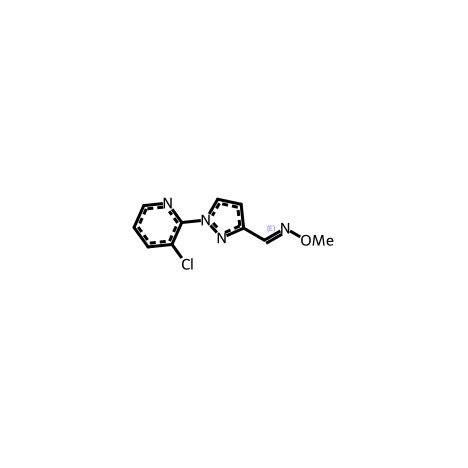 CO/N=C/c1ccn(-c2ncccc2Cl)n1